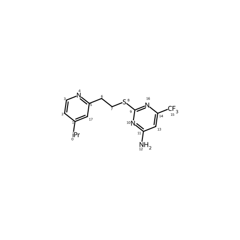 CC(C)c1ccnc(CCSc2nc(N)cc(C(F)(F)F)n2)c1